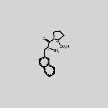 N[C@@H](Cc1ccc2ccccc2c1)C(=O)N1CCC[C@H]1C(=O)O